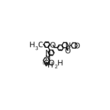 Cc1ccc(OCc2ccc3c(c2)CCN(C2CCOCC2)C3=O)c(-c2cccc(N3CC[C@@]4(C(=O)O)C[C@H]4C3)n2)c1